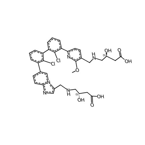 COc1nc(-c2cccc(-c3cccc(-c4ccc5ncc(CNC[C@@H](O)CC(=O)O)n5c4)c3Cl)c2Cl)ccc1CNC[C@@H](O)CC(=O)O